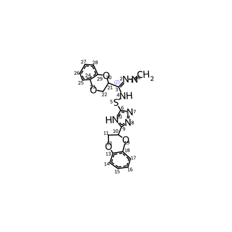 C=N/N=C(\NSc1nnc(C2COc3ccccc3O2)[nH]1)C1COc2ccccc2O1